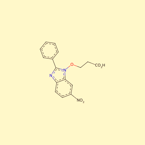 O=C(O)CCOn1c(-c2ccccc2)nc2ccc([N+](=O)[O-])cc21